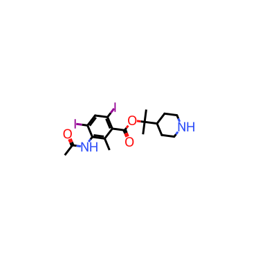 CC(=O)Nc1c(I)cc(I)c(C(=O)OC(C)(C)C2CCNCC2)c1C